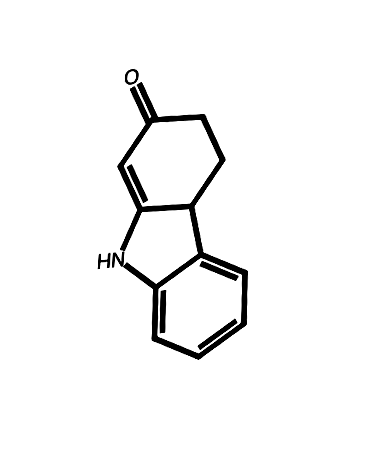 O=C1C=C2Nc3ccccc3C2CC1